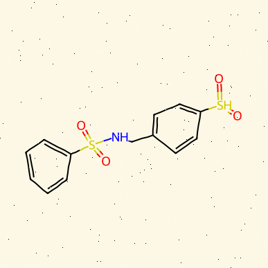 O=[SH](=O)c1ccc(CNS(=O)(=O)c2ccccc2)cc1